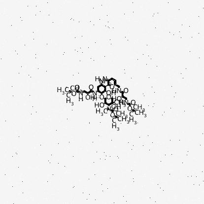 CN(C(=O)OC(C)(C)C)[C@@H]1[C@@H](O)[C@@H](O[C@@H]2[C@@H](O)[C@H](C3OC(CNC(=O)C(O)CNC(=O)OC(C)(C)C)=CC[C@H]3N)[C@@H](N)C[C@H]2NC(=O)[C@@H](O)CNC(=O)OC(C)(C)C)OC[C@]1(C)O